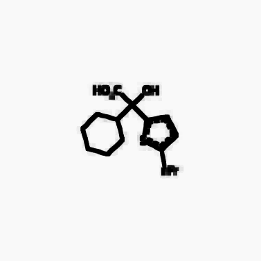 CCCc1ccc(C(O)(C(=O)O)C2CCCCC2)s1